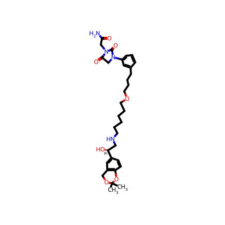 CC1(C)OCc2cc([C@@H](O)CNCCCCCCOCCCCc3cccc(N4CC(=O)N(CC(N)=O)C4=O)c3)ccc2O1